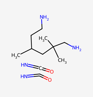 CC(CCN)CC(C)(C)CN.N=C=O.N=C=O